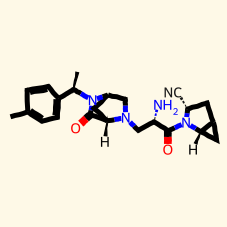 Cc1ccc([C@@H](C)N2C(=O)[C@@H]3CC2CN3C[C@H](N)C(=O)N2[C@H](C#N)CC3C[C@@H]32)cc1